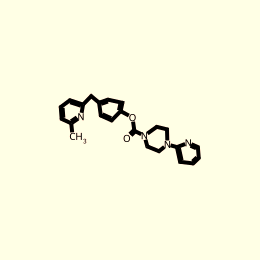 Cc1cccc(Cc2ccc(OC(=O)N3CCN(c4ccccn4)CC3)cc2)n1